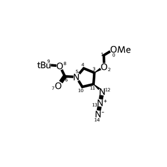 COCO[C@@H]1CN(C(=O)OC(C)(C)C)C[C@@H]1N=[N+]=[N-]